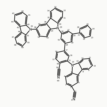 N#Cc1ccc2c(c1)c1ccccc1n2-c1cc(-c2cc(-c3ccccc3)cc(-n3c4ccccc4c4cc(-n5c6ccccc6c6ccccc65)ccc43)c2)ccc1C#N